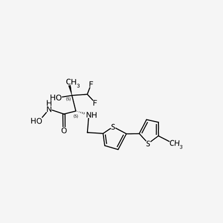 Cc1ccc(-c2ccc(CN[C@H](C(=O)NO)[C@](C)(O)C(F)F)s2)s1